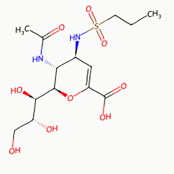 CCCS(=O)(=O)N[C@H]1C=C(C(=O)O)O[C@@H]([C@H](O)[C@H](O)CO)[C@@H]1NC(C)=O